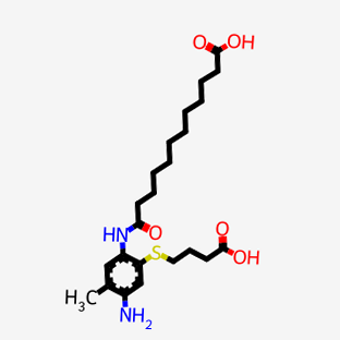 Cc1cc(NC(=O)CCCCCCCCCCC(=O)O)c(SCCCC(=O)O)cc1N